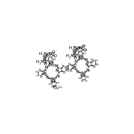 NS(=O)(=O)c1c(S(=O)(=O)[O-])cc2c3nc4nc(nc5[nH]c(nc6nc(nc([nH]3)c2c1S(N)(=O)=O)-c1ccccc1-6)c1ccccc51)-c1ccccc1-4.NS(=O)(=O)c1c(S(=O)(=O)[O-])cc2c3nc4nc(nc5[nH]c(nc6nc(nc([nH]3)c2c1S(N)(=O)=O)-c1ccccc1-6)c1ccccc51)-c1ccccc1-4.[Cu+2]